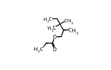 CCC(=O)OCC(C)C(C)(C)CC